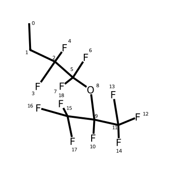 CCC(F)(F)C(F)(F)OC(F)(C(F)(F)F)C(F)(F)F